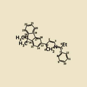 C=C(/C=C\N=C(/CC)c1ccccc1)c1ccc2c(c1)-c1ccccc1C2(C)C